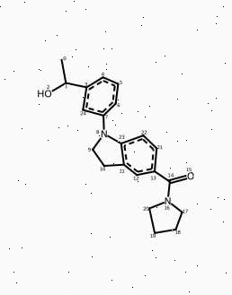 CC(O)c1cccc(N2CCc3cc(C(=O)N4CCCC4)ccc32)c1